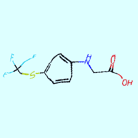 O=C(O)CNc1ccc(SC(F)(F)F)cc1